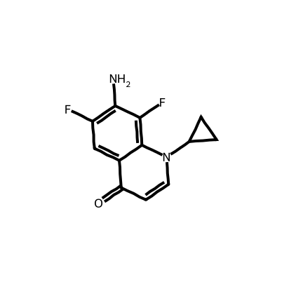 Nc1c(F)cc2c(=O)ccn(C3CC3)c2c1F